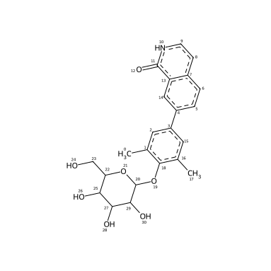 Cc1cc(-c2ccc3cc[nH]c(=O)c3c2)cc(C)c1OC1OC(CO)C(O)C(O)C1O